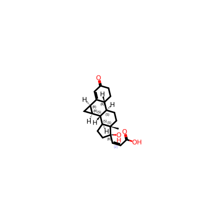 C[C@]12CC[C@H]3[C@@H]([C@H]4C[C@H]4C4=CC(=O)CC[C@@H]43)[C@@H]1CC[C@@]2(O)/C=C\C(=O)O